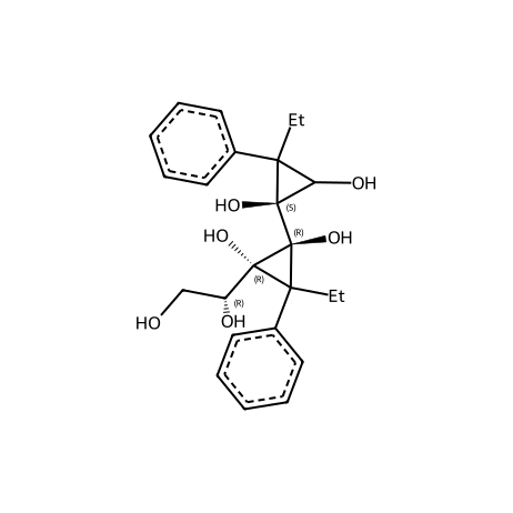 CCC1(c2ccccc2)C(O)[C@]1(O)[C@]1(O)C(CC)(c2ccccc2)[C@@]1(O)[C@H](O)CO